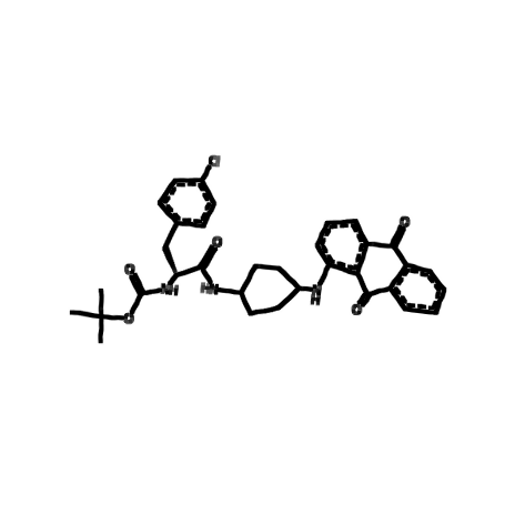 CC(C)(C)OC(=O)N[C@@H](Cc1ccc(Cl)cc1)C(=O)NC1CCC(Nc2cccc3c2C(=O)c2ccccc2C3=O)CC1